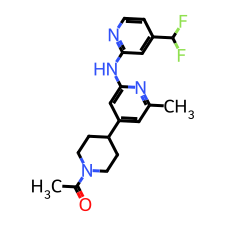 CC(=O)N1CCC(c2cc(C)nc(Nc3cc(C(F)F)ccn3)c2)CC1